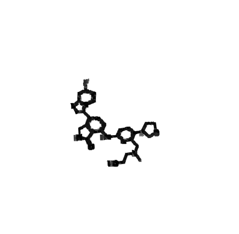 CN(CCO)Cc1nc(Nc2ccc(-c3cnc4cc(F)ccn34)c3c2C(=O)NC3)ccc1[C@H]1CCOC1